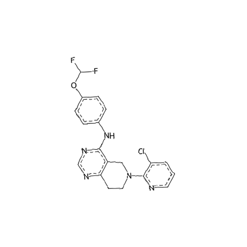 FC(F)Oc1ccc(Nc2ncnc3c2CN(c2ncccc2Cl)CC3)cc1